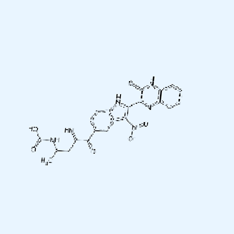 CC(CC(=N)C(=O)c1ccc2[nH]c(-c3nc4ccccc4[nH]c3=O)c([N+](=O)[O-])c2c1)NC(=O)O